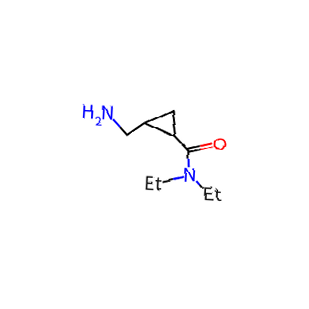 CCN(CC)C(=O)C1CC1CN